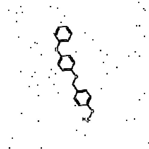 COc1ccc(COc2ccc(Oc3ccccc3)cc2)cc1